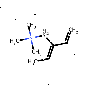 C=CC(=CC)[SiH2][N+](C)(C)C